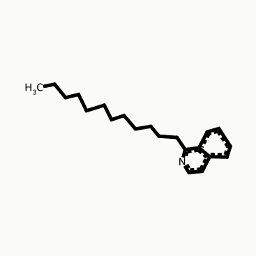 CCCCCCCCCCCCc1nccc2ccccc12